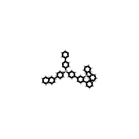 c1ccc(-c2ccc(N(c3ccc(-c4ccc(-c5ccccc5)c(-n5c6ccccc6c6ccccc65)c4)cc3)c3ccc(-c4ccc5ccccc5c4)cc3)cc2)cc1